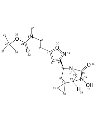 CN(CCc1cc([C@@H]2CC3(CC3)[C@H]3CN2C(=O)N3O)no1)C(=O)OC(C)(C)C